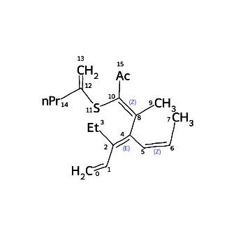 C=C/C(CC)=C(\C=C/C)C(/C)=C(\SC(=C)CCC)C(C)=O